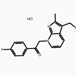 Cc1nc2n(CC(=O)c3ccc(F)cc3)cccc-2c1CC#N.Cl